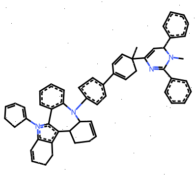 CN1C(c2ccccc2)=NC(C2(C)C=CC(c3ccc(N4c5ccccc5-c5c(c6c(n5C5=CC=CCC5)C=CCC6)C5CCC=CC54)cc3)=CC2)=CC1c1ccccc1